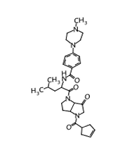 CC(C)CC(NC(=O)c1ccc(N2CCN(C)CC2)cc1)C(=O)N1CCC2C1C(=O)CN2C(=O)C1CC=CC1